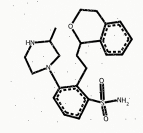 CC1CN(c2cccc(S(N)(=O)=O)c2CCC2OCCc3ccccc32)CCN1